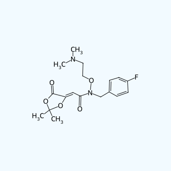 CN(C)CCON(Cc1ccc(F)cc1)C(=O)/C=C1\OC(C)(C)OC1=O